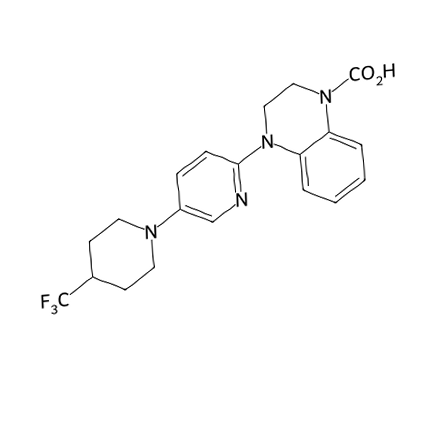 O=C(O)N1CCN(c2ccc(N3CCC(C(F)(F)F)CC3)cn2)c2ccccc21